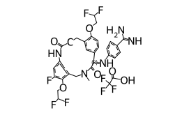 CN1Cc2cc(cc(F)c2OCC(F)F)NC(=O)CCc2cc(ccc2OCC(F)F)[C@@H](Nc2ccc(C(=N)N)cc2)C1=O.O=C(O)C(F)(F)F